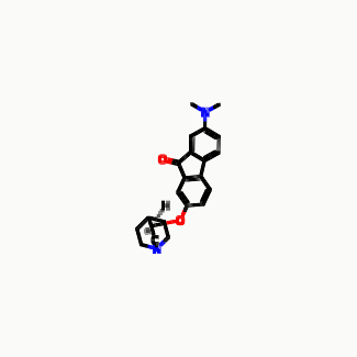 CN(C)c1ccc2c(c1)C(=O)c1cc(O[C@H]3CN4CCC3CC4)ccc1-2